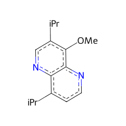 COc1c(C(C)C)cnc2c(C(C)C)ccnc12